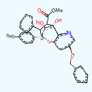 COC(=O)C1C(c2ccccc2)[C@]2(c3ccc(OC)cc3)Oc3cc(OCc4ccccc4)cnc3[C@@]1(O)C2O